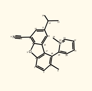 Cc1ccc2oc3c(C#N)cc(C(C)C)cc3c2c1-c1cccc[n+]1C